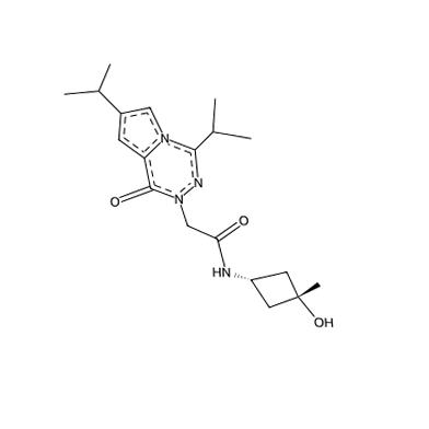 CC(C)c1cc2c(=O)n(CC(=O)N[C@H]3C[C@@](C)(O)C3)nc(C(C)C)n2c1